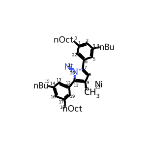 CCCCCCCCc1cc(CCCC)cc(C2=CC(C)=C(c3cc(CCCC)cc(CCCCCCCC)c3)[N+]2=[N-])c1.[Ni]